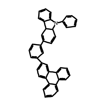 C1=CC2C(C=C1c1cccc(-c3ccc4c5ccccc5c5ccccc5c4c3)c1)c1ccccc1N2c1ccccc1